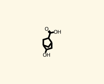 O=C(O)C1CC2CC1CC2O